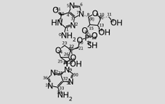 Nc1nc2c(ncn2[C@@H]2O[C@H](CO)C(O)C2OP(=O)(S)OC[C@]23COC(C2O)[C@H](n2cnc4c(N)ncnc42)O3)c(=O)[nH]1